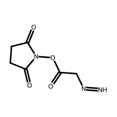 N=NCC(=O)ON1C(=O)CCC1=O